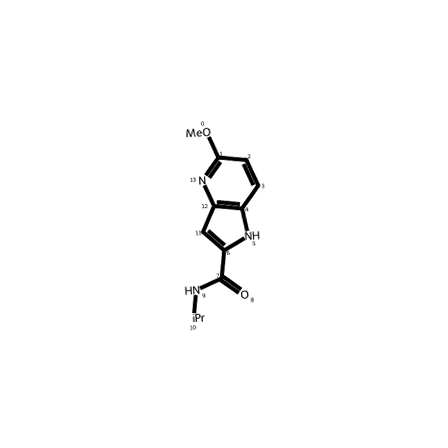 COc1ccc2[nH]c(C(=O)NC(C)C)cc2n1